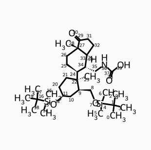 CC(C)(C)[Si](C)(C)OC[C@H]1C[C@@H](O[Si](C)(C)C(C)(C)C)CC[C@@]1(C)[C@H]1CC[C@]2(C)C(=O)CC[C@H]2[C@@H]1CNC(=O)O